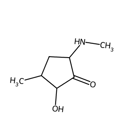 CNC1CC(C)C(O)C1=O